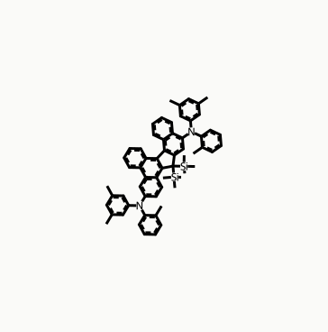 Cc1cc(C)cc(N(c2ccc3c4c(c5ccccc5c3c2)-c2c(cc(N(c3cc(C)cc(C)c3)c3ccccc3C)c3ccccc23)C4([Si](C)(C)C)[Si](C)(C)C)c2ccccc2C)c1